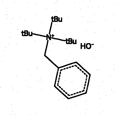 CC(C)(C)[N+](Cc1ccccc1)(C(C)(C)C)C(C)(C)C.[OH-]